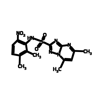 Cc1cc(C)n2nc(S(=O)(=O)Nc3c([N+](=O)[O-])ccc(C)c3C)nc2n1